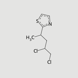 CC(CC(Cl)CCl)c1nccs1